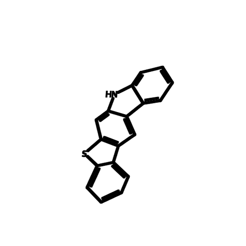 c1ccc2c(c1)[nH]c1cc3sc4ccccc4c3cc12